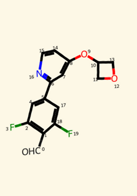 O=Cc1c(F)cc(-c2cc(OC3COC3)ccn2)cc1F